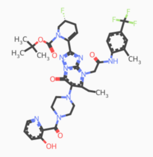 CCc1c(N2CCN(C(=O)c3ncccc3O)CC2)c(=O)n2nc(C3=CC[C@@H](F)CN3C(=O)OC(C)(C)C)nc2n1CC(=O)Nc1ccc(C(F)(F)F)cc1C